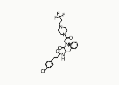 O=C(C=Cc1ccc(Cl)cc1)N[C@@H](Cc1ccccn1)C(=O)NCC(=O)N1CCN(CCC(F)(F)F)CC1